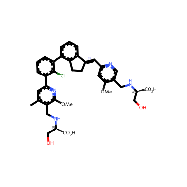 COc1cc(/C=C2\CCc3c2cccc3-c2cccc(-c3cc(C)c(CN[C@H](CO)C(=O)O)c(OC)n3)c2Cl)ncc1CN[C@H](CO)C(=O)O